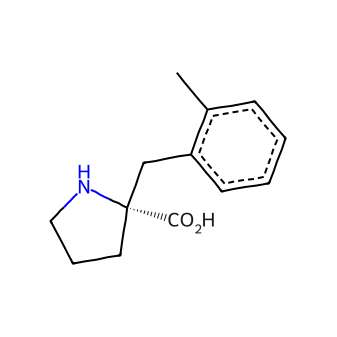 Cc1ccccc1C[C@@]1(C(=O)O)CCCN1